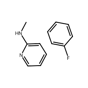 CNc1ccccn1.Fc1ccccc1